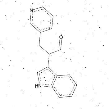 O=CC(Cc1cccnc1)c1c[nH]c2ccccc12